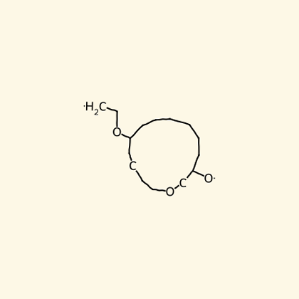 [CH2]COC1CCCCCCC([O])COCCCC1